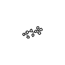 c1ccc(N(c2cccc(-c3ccc4c5ccccc5n(-c5ccccc5)c4c3)c2)c2ccc3c(c2)-c2ccccc2C3(c2ccccc2)c2ccccc2)cc1